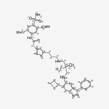 COc1cc(S(N)(=O)=O)c(OC)cc1NC(=O)Cn1cc(CCCNCC(C)(C)CNc2nn3c(-c4ccccc4)nnc3cc2C2CCC2)nn1